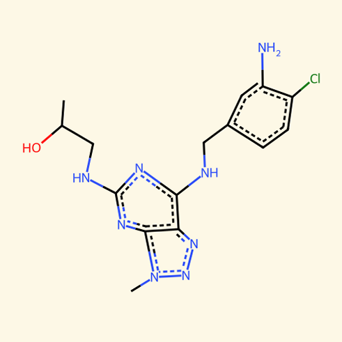 CC(O)CNc1nc(NCc2ccc(Cl)c(N)c2)c2nnn(C)c2n1